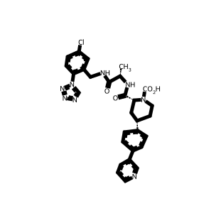 C[C@H](NC(=O)[C@H]1C[C@@H](c2ccc(-c3cccnc3)cc2)CCN1C(=O)O)C(=O)NCc1cc(Cl)ccc1-n1cnnn1